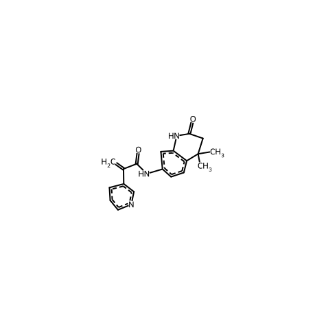 C=C(C(=O)Nc1ccc2c(c1)NC(=O)CC2(C)C)c1cccnc1